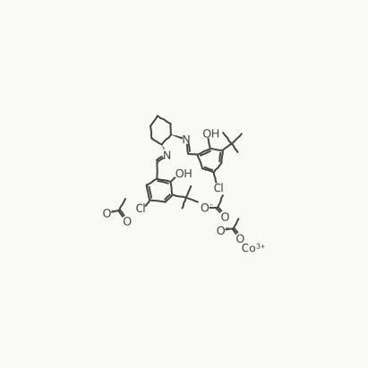 CC(=O)[O-].CC(=O)[O-].CC(=O)[O-].CC(C)(C)c1cc(Cl)cc(C=N[C@@H]2CCCC[C@H]2N=Cc2cc(Cl)cc(C(C)(C)C)c2O)c1O.[Co+3]